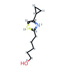 OCCCCCc1nc(C2CC2)cs1